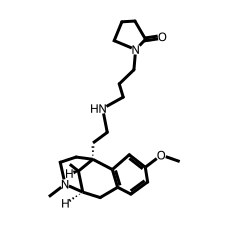 COc1ccc2c(c1)[C@]1(CCNCCCN3CCCC3=O)CCN(C)[C@H](C2)[C@@H]1C